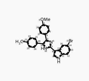 COc1ccc(-c2nc(-c3c[nH]c4ccc(Br)cc34)[nH]c2-c2ccc(C)cc2)cc1